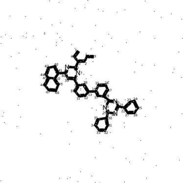 C=C/C=C(\C=C)c1nc(-c2cccc(-c3cccc(-c4nc(-c5ccccc5)nc(-c5ccccc5)n4)c3)c2)cc(-c2cccc3ccccc23)n1